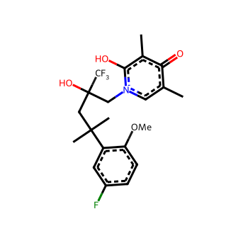 COc1ccc(F)cc1C(C)(C)CC(O)(Cn1cc(C)c(=O)c(C)c1O)C(F)(F)F